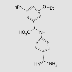 CCCc1cc(OCC)cc(C(Nc2ccc(C(=N)N)cc2)C(=O)O)c1